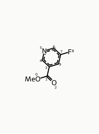 COC(=O)c1cn[c]c(F)c1